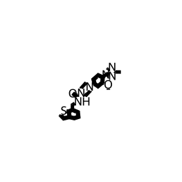 COc1cc(N2CCN(C(=O)NCc3cccc4ccsc34)CC2)ccc1-n1cnc(C)n1